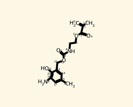 C=C(C)C(=O)OCCNC(=O)OCc1cc(C)cc(N)c1O